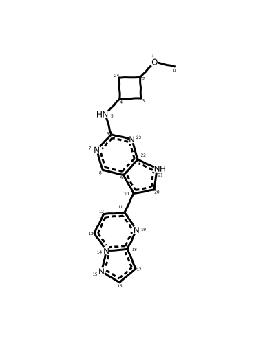 COC1CC(Nc2ncc3c(-c4ccn5nccc5n4)c[nH]c3n2)C1